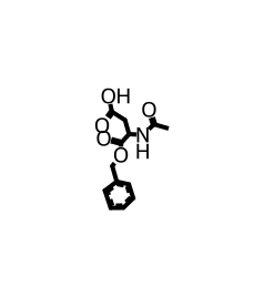 CC(=O)NC(CC(=O)O)C(=O)OCc1ccccc1